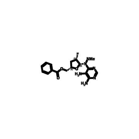 CNN(c1ncnc(N)c1N)[C@@H]1O[C@H](COC(=O)c2ccccc2)C[C@@H]1F